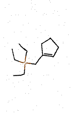 CCS(CC)(CC)CC1=CCCC1